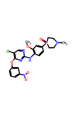 COc1cc(P2(=O)CCN(C)CC2)ccc1Nc1ncc(Cl)c(Oc2cccc([N+](=O)[O-])c2)n1